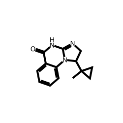 CC1(C2CN=C3NC(=O)c4ccccc4N32)CC1